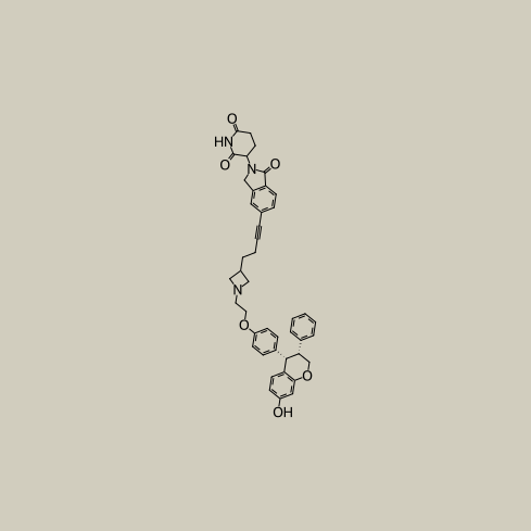 O=C1CCC(N2Cc3cc(C#CCCC4CN(CCOc5ccc([C@H]6c7ccc(O)cc7OC[C@H]6c6ccccc6)cc5)C4)ccc3C2=O)C(=O)N1